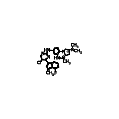 CC(=O)Nc1cc(Nc2ncc(Cl)c(-c3cn(C)c4c(F)cccc34)n2)ccc1N1CC[C@@H](N(C)C)C1